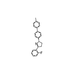 Cc1ccc(-c2ccc([C@H]3CCC(c4ccccc4F)=N3)cc2)cc1